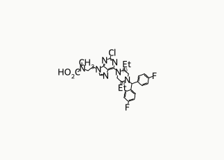 CC[C@H]1CN(C(c2ccc(F)cc2)c2ccc(F)cc2)[C@H](CC)CN1c1nc(Cl)nc2c1ncn2CCN(C)C(=O)O